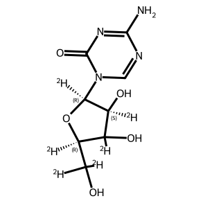 [2H]C([2H])(O)[C@@]1([2H])O[C@@]([2H])(n2cnc(N)nc2=O)[C@@]([2H])(O)C1([2H])O